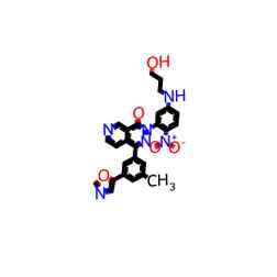 Cc1cc(-c2cnco2)cc(-c2nn(-c3cc(NCCCO)ccc3[N+](=O)[O-])c(=O)c3cnccc23)c1